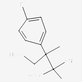 CC(C#N)(C(=O)O)C(C)(CC(=O)O)c1ccc(F)cc1